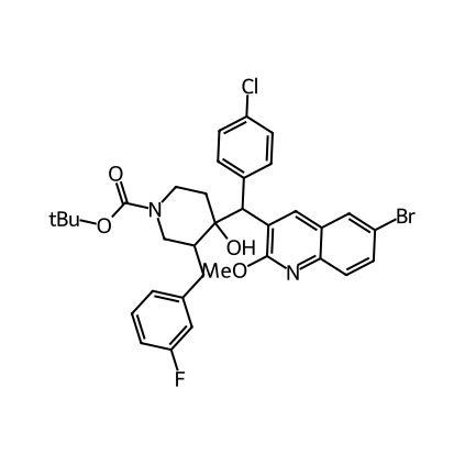 COc1nc2ccc(Br)cc2cc1C(c1ccc(Cl)cc1)C1(O)CCN(C(=O)OC(C)(C)C)CC1Cc1cccc(F)c1